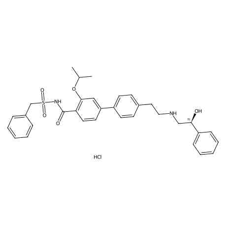 CC(C)Oc1cc(-c2ccc(CCNC[C@@H](O)c3ccccc3)cc2)ccc1C(=O)NS(=O)(=O)Cc1ccccc1.Cl